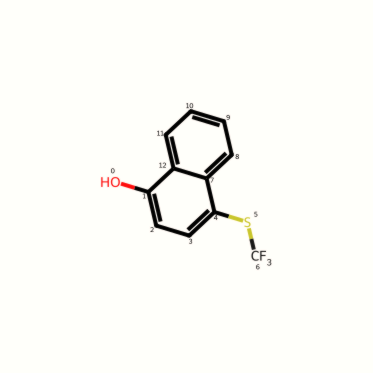 Oc1ccc(SC(F)(F)F)c2ccccc12